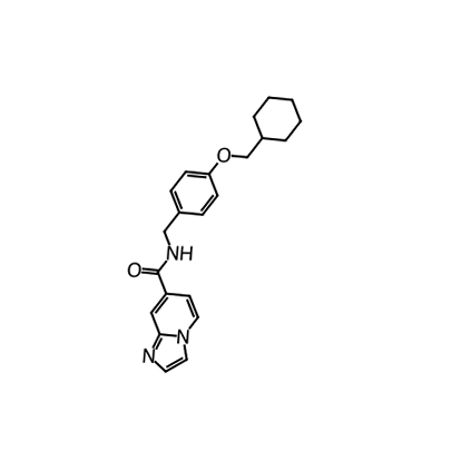 O=C(NCc1ccc(OCC2CCCCC2)cc1)c1ccn2ccnc2c1